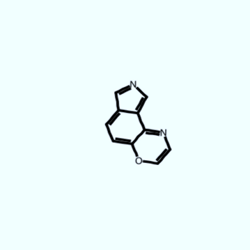 c1coc2ccc3cncc3c2n1